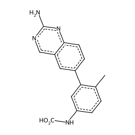 Cc1ccc(NC(=O)O)cc1-c1ccc2nc(N)ncc2c1